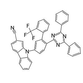 N#Cc1ccc2c3ccccc3n(-c3ccc(-c4nc(-c5ccccc5)nc(-c5ccccc5)n4)c(-c4ccccc4C(F)(F)F)c3)c2c1